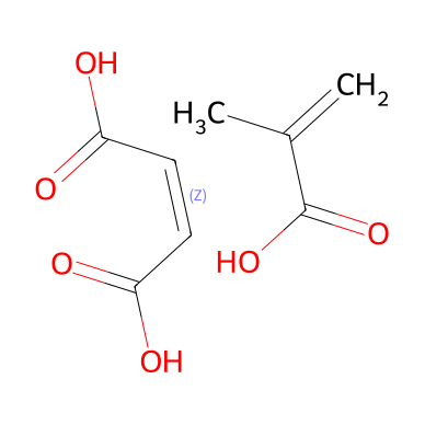 C=C(C)C(=O)O.O=C(O)/C=C\C(=O)O